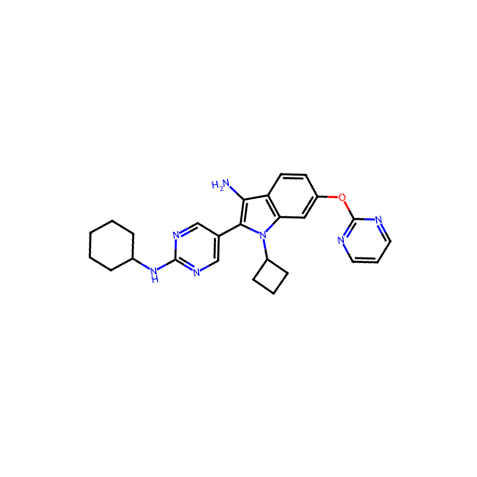 Nc1c(-c2cnc(NC3CCCCC3)nc2)n(C2CCC2)c2cc(Oc3ncccn3)ccc12